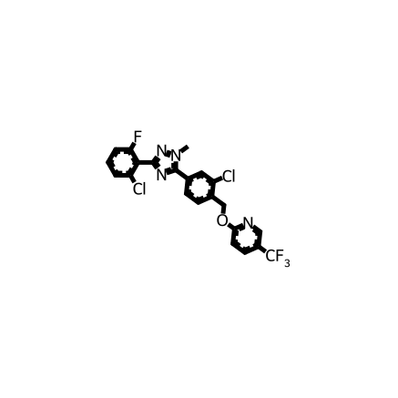 Cn1nc(-c2c(F)cccc2Cl)nc1-c1ccc(COc2ccc(C(F)(F)F)cn2)c(Cl)c1